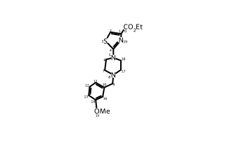 CCOC(=O)c1csc(N2CCN(Cc3cccc(OC)c3)CC2)n1